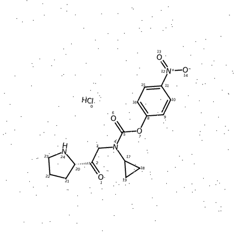 Cl.O=C(CN(C(=O)Oc1ccc([N+](=O)[O-])cc1)C1CC1)[C@@H]1CCCN1